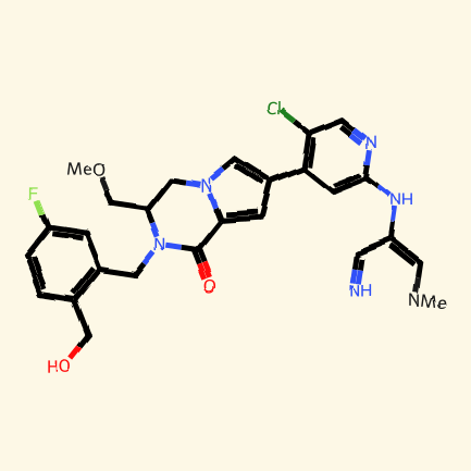 CN/C=C(\C=N)Nc1cc(-c2cc3n(c2)CC(COC)N(Cc2cc(F)ccc2CO)C3=O)c(Cl)cn1